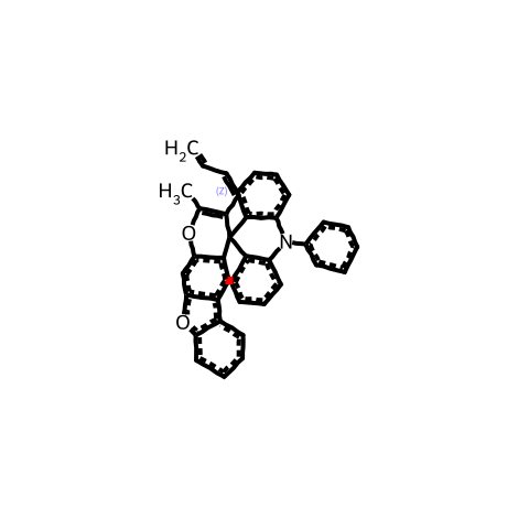 C=C/C=C\C1=C(C)Oc2cc3oc4ccccc4c3cc2C12c1ccccc1N(c1ccccc1)c1ccccc12